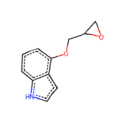 c1cc(OCC2CO2)c2cc[nH]c2c1